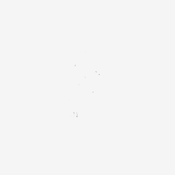 CN1CCC[C@H]1C1(C)C=NC=CC1